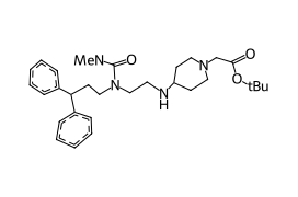 CNC(=O)N(CCNC1CCN(CC(=O)OC(C)(C)C)CC1)CCC(c1ccccc1)c1ccccc1